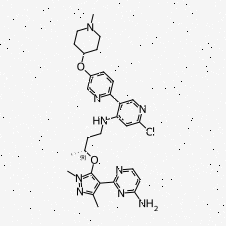 Cc1nn(C)c(O[C@H](C)CCNc2cc(Cl)ncc2-c2ccc(OC3CCN(C)CC3)cn2)c1-c1nccc(N)n1